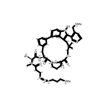 CCn1c(-c2cnccc2COC)c2c3cc(ccc31)-c1cccc(c1)C[C@H](NC(=O)[C@H](C(C)C)N(C)C(=O)CCN=C=NCCCSC)C(=O)N1CCC[C@H](N1)C(=O)OCC(C)(C)C2